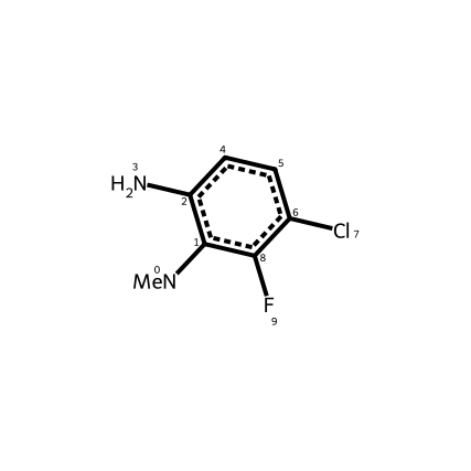 CNc1c(N)ccc(Cl)c1F